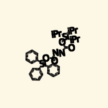 CC(C)[Si](OC(=O)N=NC(=O)O[Si](c1ccccc1)(c1ccccc1)c1ccccc1)(C(C)C)C(C)C